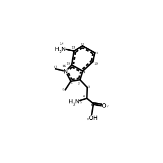 Cc1c(CC(N)C(=O)O)c2cccc(N)c2n1C